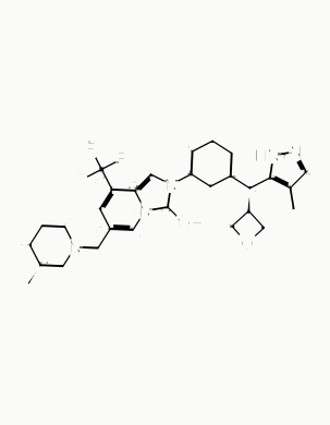 Cc1cn[nH]c1[C@@H](C1COC1)C1CCCC(N2C=C3C(C(F)(F)F)=CC(CN4CCC[C@H](C)C4)=CN3C2O)C1